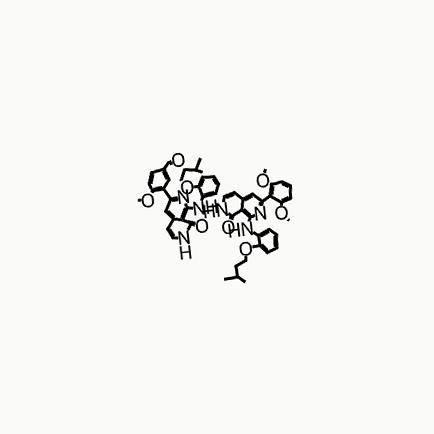 COc1ccc(C=O)cc1-c1cc2cc[nH]c(=O)c2c(Nc2ccccc2OCCC(C)C)n1.COc1cccc(OC)c1-c1cc2cc[nH]c(=O)c2c(Nc2ccccc2OCCC(C)C)n1